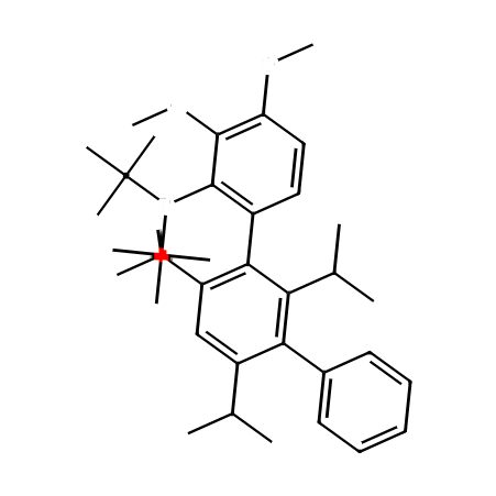 COc1ccc(-c2c(C(C)C)cc(C(C)C)c(-c3ccccc3)c2C(C)C)c(P(C(C)(C)C)C(C)(C)C)c1OC